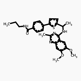 CCCNC(=O)c1ccc(-c2ccc(C(C)Nc3nc(C)nc4cc(OC)c(OC)cc34)s2)cc1